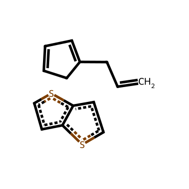 C=CCC1=CC=CC1.c1cc2sccc2s1